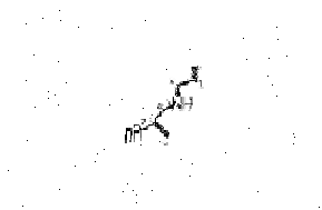 C=CCNCC(=C)CCC